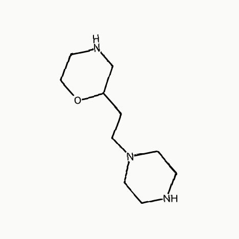 C1CN(CCC2CNCCO2)CCN1